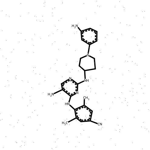 Cc1cc(C#N)cc(C)c1Nc1nc(NC2CCN(c3cccc(N)c3)CC2)ncc1N